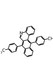 Cc1ccc(-c2c3ccccc3c(-c3ccc(C)cc3)c3c2cnc2ccccc23)cc1